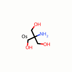 NC(CO)(CO)CO.[Os]